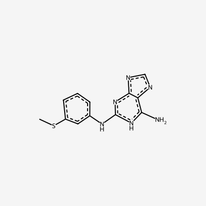 CSc1cccc(Nc2nc3ncnc-3c(N)[nH]2)c1